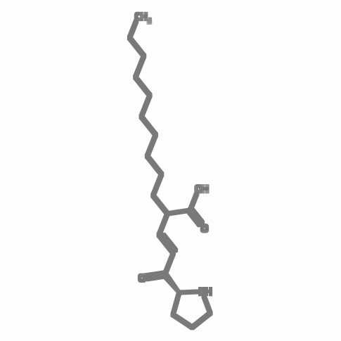 CCCCCCCCCCC(C=CC(=O)[C@@H]1CCCN1)C(=O)O